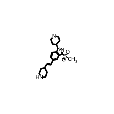 CS(=O)(=O)c1nn(C2CC[N]CC2)c2ccc(C=CC3CCNCC3)cc12